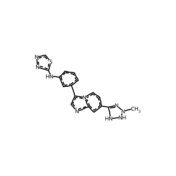 CN1N=C(c2ccn3c(-c4cccc(Nc5nncs5)c4)cnc3c2)NN1